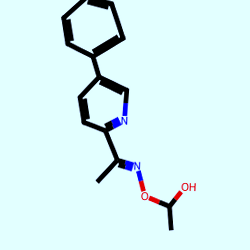 CC(=NOC(C)O)c1ccc(-c2ccccc2)cn1